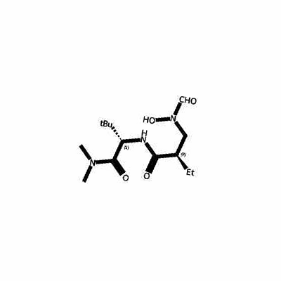 CC[C@H](CN(O)C=O)C(=O)N[C@H](C(=O)N(C)C)C(C)(C)C